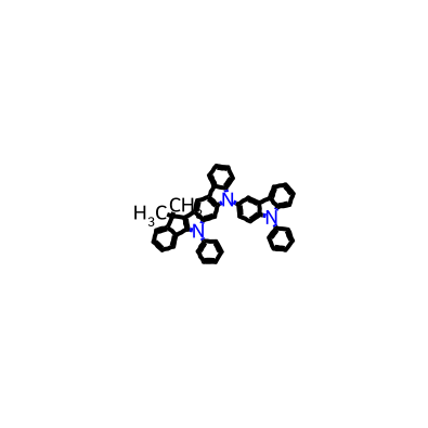 CC1(C)c2ccccc2-c2c1c1cc3c4ccccc4n(-c4ccc5c(c4)c4ccccc4n5-c4ccccc4)c3cc1n2-c1ccccc1